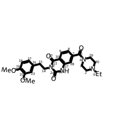 CCN1CCN(C(=O)c2ccc3c(=O)n(CCc4ccc(OC)c(OC)c4)c(=O)[nH]c3c2)CC1